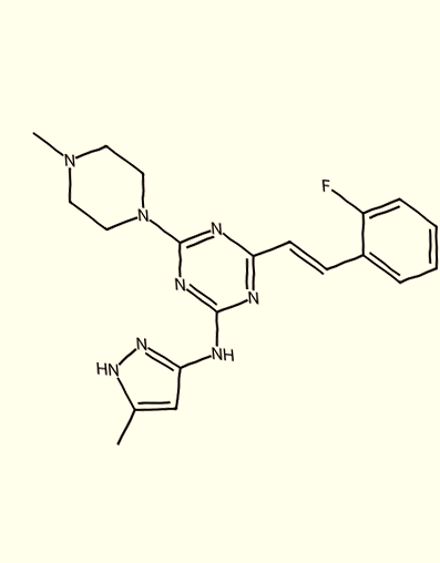 Cc1cc(Nc2nc(/C=C/c3ccccc3F)nc(N3CCN(C)CC3)n2)n[nH]1